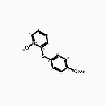 COc1ccc(Sc2cccc[n+]2[O-])cc1